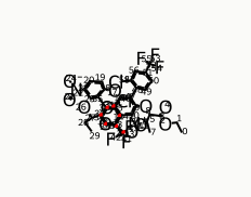 CCOC(=O)C(CC)Oc1c([N+](=O)[O-])ccc(Oc2ccc([N+](=O)[O-])c(OC(CC)C(=O)OCC)c2-c2ccc(C(F)(F)F)cc2Cl)c1-c1ccc(C(F)(F)F)cc1Cl